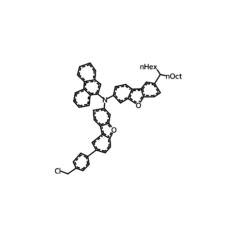 CCCCCCCCC(CCCCCC)c1ccc2oc3cc(N(c4ccc5c(c4)oc4ccc(-c6ccc(CCl)cc6)cc45)c4cc5ccccc5c5ccccc45)ccc3c2c1